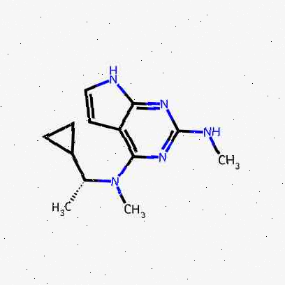 CNc1nc(N(C)[C@H](C)C2CC2)c2cc[nH]c2n1